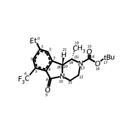 CCc1cc2c(c(C(F)(F)F)c1)C(=O)N1CCN(C(=O)OC(C)(C)C)[C@@H](C)[C@@H]21